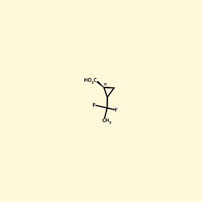 CC(F)(F)C1C[C@@H]1C(=O)O